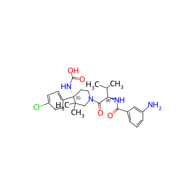 CC(C)[C@@H](NC(=O)c1cccc(N)c1)C(=O)N1CC[C@](NC(=O)O)(c2ccc(Cl)cc2)C(C)(C)C1